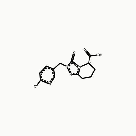 O=C(O)[C@H]1CCCc2nn(Cc3ccc(Cl)nc3)c(=O)n21